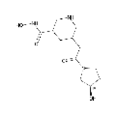 O=C(NO)C1CNCC(CC(=O)N2CC[C@@H](O)C2)C1